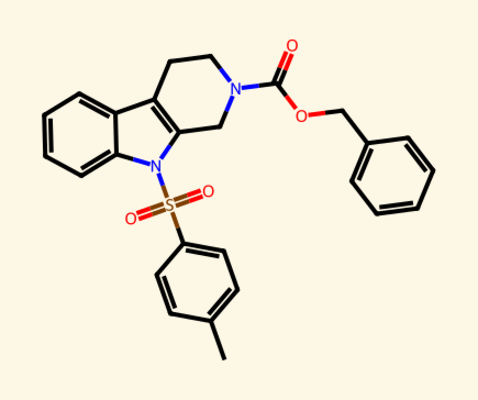 Cc1ccc(S(=O)(=O)n2c3c(c4ccccc42)CCN(C(=O)OCc2ccccc2)C3)cc1